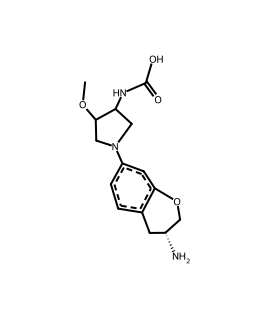 COC1CN(c2ccc3c(c2)OC[C@H](N)C3)CC1NC(=O)O